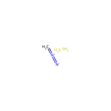 C=[N+]=[N-].S.S